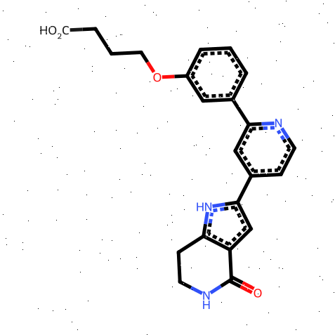 O=C(O)CCCOc1cccc(-c2cc(-c3cc4c([nH]3)CCNC4=O)ccn2)c1